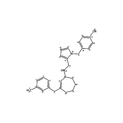 Cc1cccc(CC2=CC(NCc3cncn3Cc3ccc(C#N)cc3)CCCC2)c1